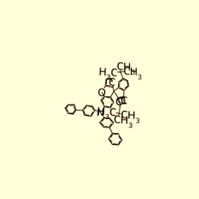 CC(C)(C)c1ccc2c(c1)C1(c3ccccc3Oc3cc(N(c4ccc(-c5ccccc5)cc4)c4ccc(-c5ccccc5)cc4)ccc31)c1cc(C(C)(C)C)ccc1-2